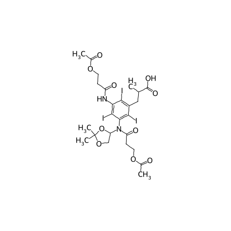 CC(=O)OCCC(=O)Nc1c(I)c(CC(C)C(=O)O)c(I)c(N(C(=O)CCOC(C)=O)C2COC(C)(C)O2)c1I